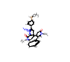 CSc1ccc(-c2cc3c(-c4cc(=O)n(C)cc4-c4ccccc4)cn(C)c(=O)c3[nH]2)cc1